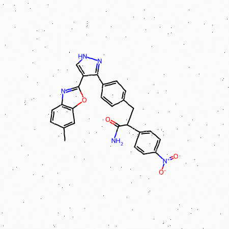 Cc1ccc2nc(-c3c[nH]nc3-c3ccc(CC(C(N)=O)c4ccc([N+](=O)[O-])cc4)cc3)oc2c1